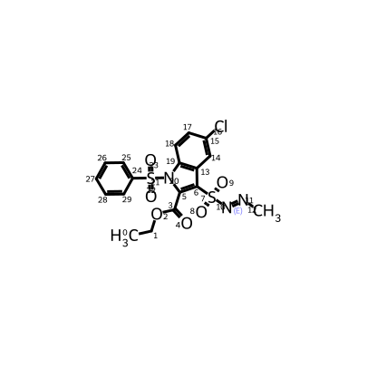 CCOC(=O)c1c(S(=O)(=O)/N=N/C)c2cc(Cl)ccc2n1S(=O)(=O)c1ccccc1